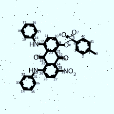 Cc1ccc(S(=O)(=O)Oc2ccc(Nc3ccccc3)c3c2C(=O)c2c([N+](=O)[O-])ccc(Nc4ccccc4)c2C3=O)cc1